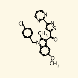 COc1ccc2c(c1)c(C(=O)c1cc(-c3ncccn3)ns1)c(C)n2Cc1ccc(Cl)cc1